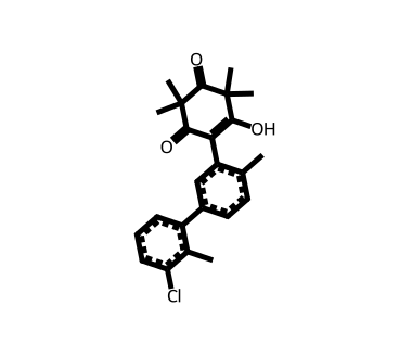 Cc1ccc(-c2cccc(Cl)c2C)cc1C1=C(O)C(C)(C)C(=O)C(C)(C)C1=O